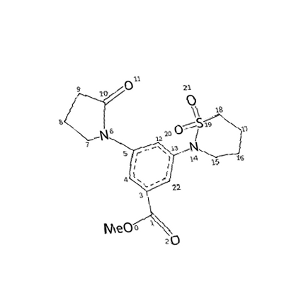 COC(=O)c1cc(N2CCCC2=O)cc(N2CCCCS2(=O)=O)c1